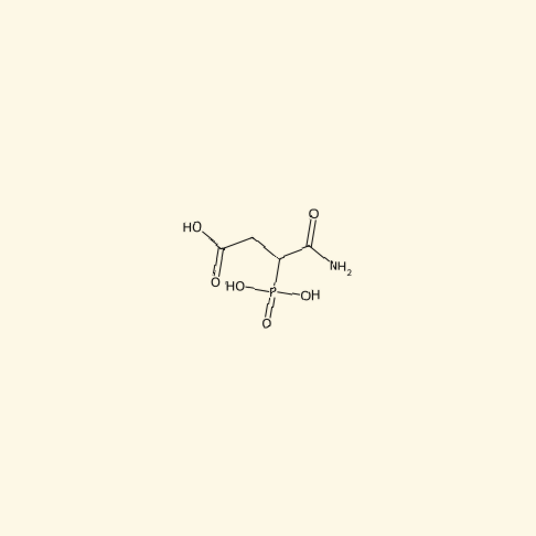 NC(=O)C(CC(=O)O)P(=O)(O)O